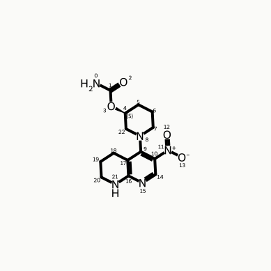 NC(=O)O[C@H]1CCCN(c2c([N+](=O)[O-])cnc3c2CCCN3)C1